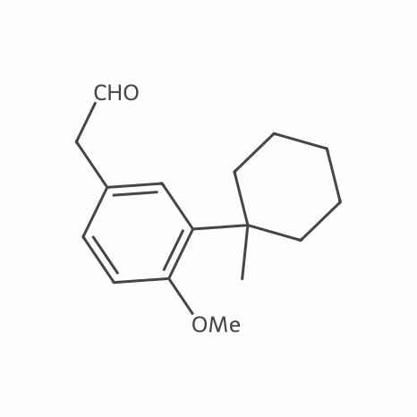 COc1ccc(CC=O)cc1C1(C)CCCCC1